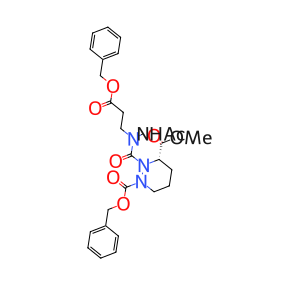 COC(=O)[C@@H]1CCCN(C(=O)OCc2ccccc2)N1C(=O)N(CCC(=O)OCc1ccccc1)NC(C)=O